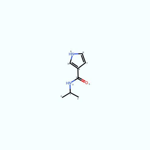 CC(C)NC(=O)c1cc[nH]c1